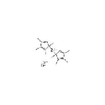 CC1=C[C](C)([Zr+2][C]2(C)C=C(C)C(C)=C2C)C(C)=C1C.[Br-].[Br-]